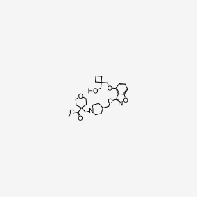 COC(=O)C1(CN2CCC(COc3noc4cccc(OCC5(CO)CCC5)c34)CC2)CCOCC1